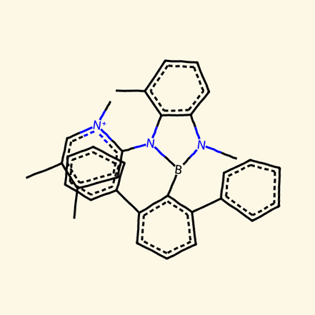 Cc1cc(N2B(c3c(-c4ccccc4)cccc3-c3ccccc3)N(C)c3cccc(C)c32)[n+](C)cc1C